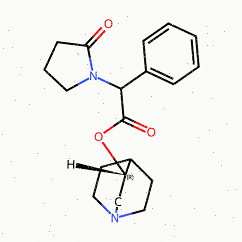 O=C(O[C@H]1CN2CCC1CC2)C(c1ccccc1)N1CCCC1=O